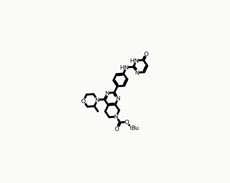 CC1COCCN1c1nc(-c2ccc(Nc3nccc(=O)[nH]3)cc2)nc2c1CCN(C(=O)OC(C)(C)C)C2